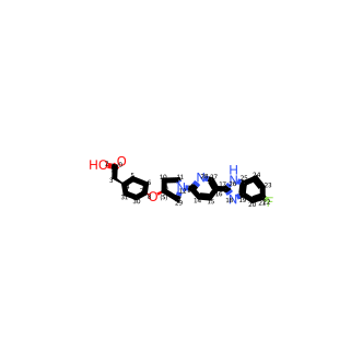 O=C(O)C[C@H]1CC[C@H](O[C@H]2CCN(c3ccc(-c4nc5cc(F)ccc5[nH]4)cn3)C2)CC1